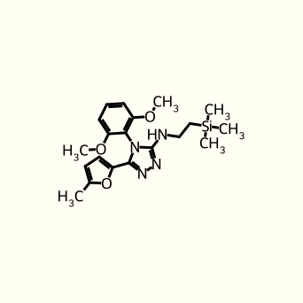 COc1cccc(OC)c1-n1c(NCC[Si](C)(C)C)nnc1-c1ccc(C)o1